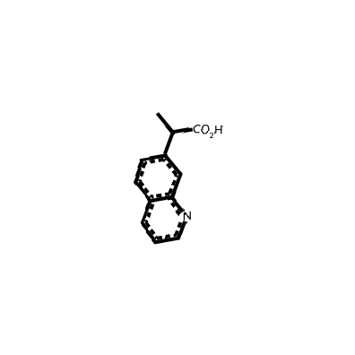 CC(C(=O)O)c1ccc2cccnc2c1